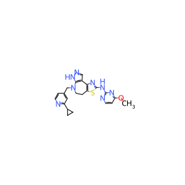 COc1ccnc(Nc2nc3c(s2)CCN(Cc2ccnc(C4CC4)c2)c2[nH]ncc2-3)n1